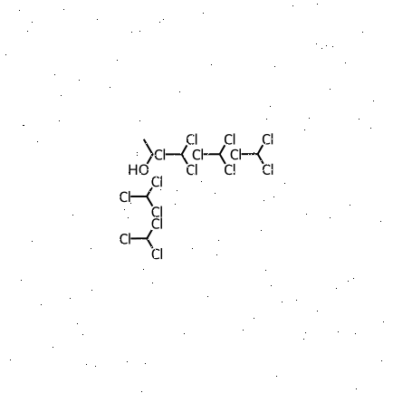 CCO.ClC(Cl)Cl.ClC(Cl)Cl.ClC(Cl)Cl.ClC(Cl)Cl.ClC(Cl)Cl